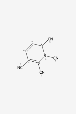 N#CB1C(C#N)=C(C#N)C=CC1C#N